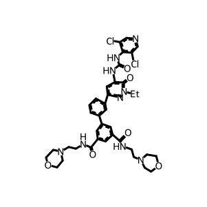 CCn1nc(-c2cccc(-c3cc(C(=O)NCCN4CCOCC4)cc(C(=O)NCCN4CCOCC4)c3)c2)cc(NC(=O)Nc2c(Cl)cncc2Cl)c1=O